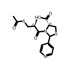 CC(=O)SC[C@@H](C)C(=O)N1C(c2ccncc2)SC[C@H]1C(=O)O